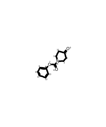 O=C1CCN(C(=O)Oc2ccccc2)CC1